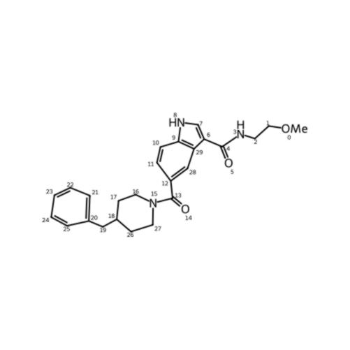 COCCNC(=O)c1c[nH]c2ccc(C(=O)N3CCC(Cc4ccccc4)CC3)cc12